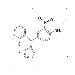 Nc1ccc(C(c2ccccc2F)n2ccnc2)cc1[N+](=O)[O-]